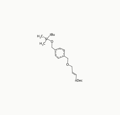 CCCCCCCCCCC=CCOCc1ccc(CO[Si](C)(C)C(C)(C)C)cc1